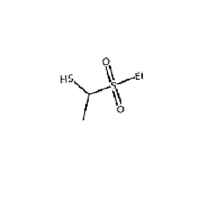 CCS(=O)(=O)C(C)S